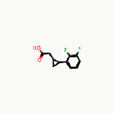 O=C(O)CC1CC1c1cccc(F)c1F